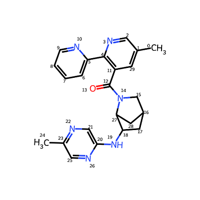 Cc1cnc(-c2ccccn2)c(C(=O)N2CC3CC(Nc4cnc(C)cn4)C2C3)c1